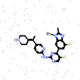 CC(=C1CCNCC1)c1ccc(Nc2ncc(F)c(-c3cc(F)c4nc(C)n(C(C)C)c4c3)n2)nc1